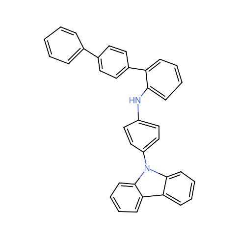 c1ccc(-c2ccc(-c3ccccc3Nc3ccc(-n4c5ccccc5c5ccccc54)cc3)cc2)cc1